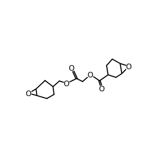 O=C(COC(=O)C1CCC2OC2C1)OCC1CCC2OC2C1